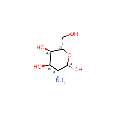 N[C@@H]1[C@@H](O)[C@@H](O)[C@H](CO)O[C@@H]1O